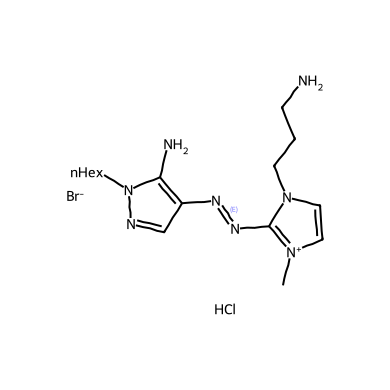 CCCCCCn1ncc(/N=N/c2n(CCCN)cc[n+]2C)c1N.Cl.[Br-]